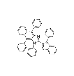 c1ccc(-c2c3ccccc3c(-c3ccccc3)c3c2nc(-c2nc4ccccc4n2-c2ccccc2)n3-c2ccccc2)cc1